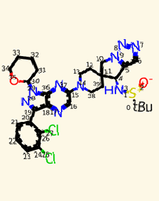 CC(C)(C)[S@@+]([O-])N[C@@H]1c2cnnn2CC12CCN(c1cnc3c(-c4cccc(Cl)c4Cl)nn(C4CCCCO4)c3n1)CC2